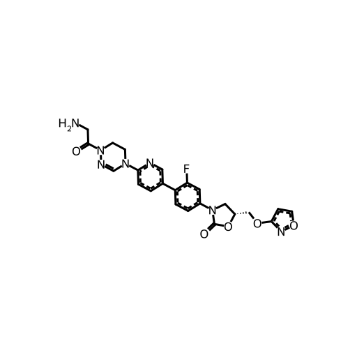 NCC(=O)N1CCN(c2ccc(-c3ccc(N4C[C@H](COc5ccon5)OC4=O)cc3F)cn2)C=N1